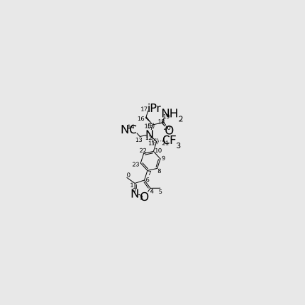 Cc1noc(C)c1-c1ccc([C@H](N(CC#N)[C@@H](CC(C)C)C(N)=O)C(F)(F)F)cc1